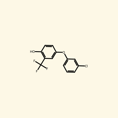 Oc1ccc(Oc2cccc(Cl)c2)cc1C(F)(F)F